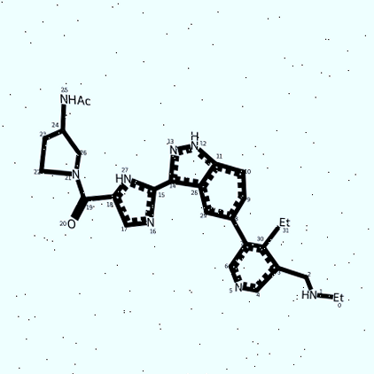 CCNCc1cncc(-c2ccc3[nH]nc(-c4ncc(C(=O)N5CCC(NC(C)=O)C5)[nH]4)c3c2)c1CC